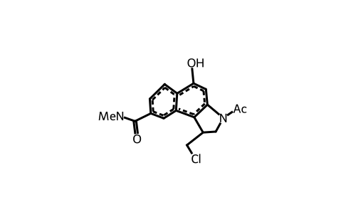 CNC(=O)c1ccc2c(O)cc3c(c2c1)C(CCl)CN3C(C)=O